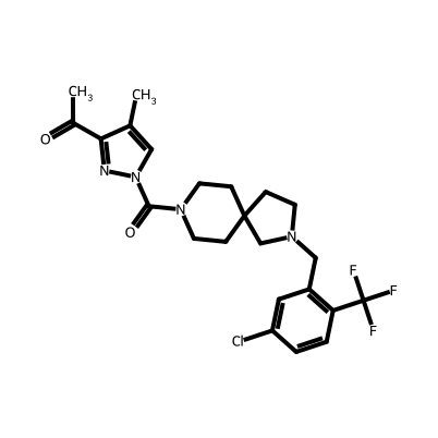 CC(=O)c1nn(C(=O)N2CCC3(CCN(Cc4cc(Cl)ccc4C(F)(F)F)C3)CC2)cc1C